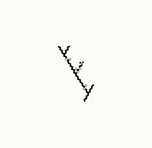 CCCCCC(CCCCC)CCOC(=O)CCCCCCCC(CCCCCCCC(=O)OCCC(CCCCC)CCCCC)OC(=O)OCCN(C)C